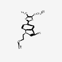 CCOCCn1cc(N)c2cc(-c3nc(C)c(C(=O)OCC)s3)ccc21